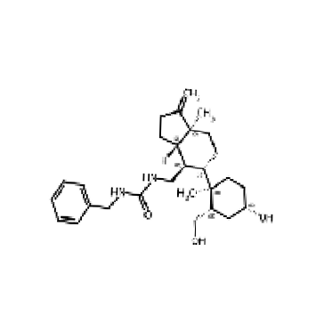 C=C1CC[C@H]2[C@H](CNC(=O)NCc3ccccc3)[C@@H]([C@@]3(C)CC[C@H](O)C[C@@H]3CO)CC[C@]12C